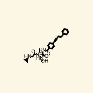 O=C(CNC1CC1)NC[C@H](NC(=O)c1ccc(C#CC=Cc2ccccc2)cc1)C(=O)NO